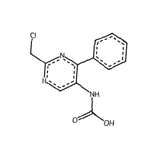 O=C(O)Nc1cnc(CCl)nc1-c1ccccc1